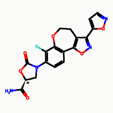 NC(=O)[C@H]1CN(c2ccc3c(c2F)OCCc2c(-c4ccno4)noc2-3)C(=O)O1